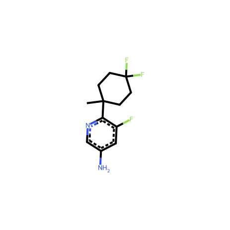 CC1(c2ncc(N)cc2F)CCC(F)(F)CC1